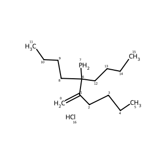 C=C(CCCC)C(P)(CCCC)CCCC.Cl